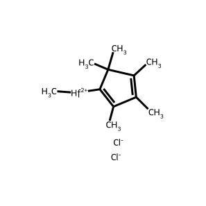 [CH3][Hf+2][C]1=C(C)C(C)=C(C)C1(C)C.[Cl-].[Cl-]